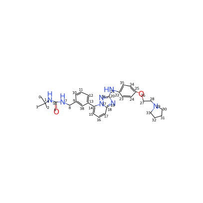 CC(C)(C)NC(=O)NCc1cccc(-c2cccc3nc(Nc4ccc(OCCN5CCCC5)cc4)nn23)c1